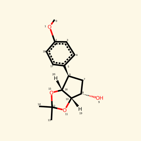 COc1ccc([C@H]2C[C@H](O)[C@@H]3OC(C)(C)O[C@@H]32)cc1